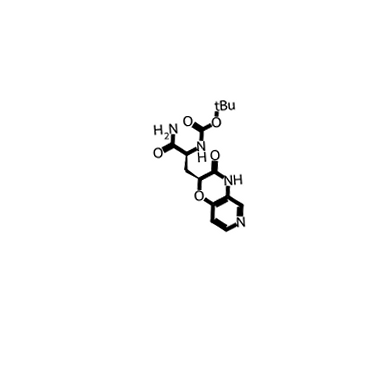 CC(C)(C)OC(=O)N[C@@H](C[C@@H]1Oc2ccncc2NC1=O)C(N)=O